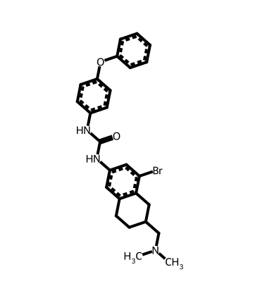 CN(C)CC1CCc2cc(NC(=O)Nc3ccc(Oc4ccccc4)cc3)cc(Br)c2C1